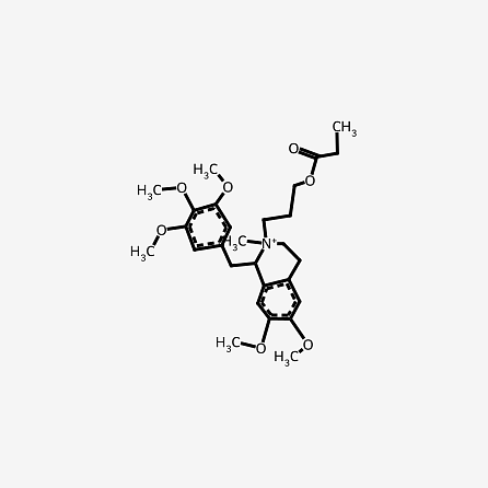 CCC(=O)OCCC[N+]1(C)CCc2cc(OC)c(OC)cc2C1Cc1cc(OC)c(OC)c(OC)c1